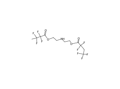 CC(F)(F)C(F)(F)C(=O)OCCNCCOC(=O)C(F)(F)CC(F)(F)F